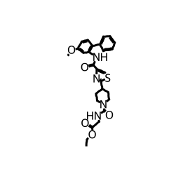 CCOC(=O)CNC(=O)N1CCC(c2nc(C(=O)Nc3cc(OC)ccc3-c3ccccc3)cs2)CC1